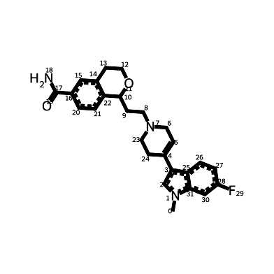 Cn1cc(C2=CCN(CCC3OCCc4cc(C(N)=O)ccc43)CC2)c2ccc(F)cc21